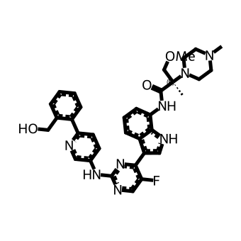 COC[C@](C)(C(=O)Nc1cccc2c(-c3nc(Nc4ccc(-c5ccccc5CO)nc4)ncc3F)c[nH]c12)N1CCN(C)CC1